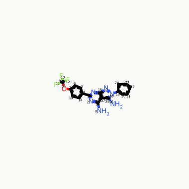 Nc1nc(-c2ccc(OC(F)(F)F)cc2)nc2nn(-c3ccccc3)c(N)c12